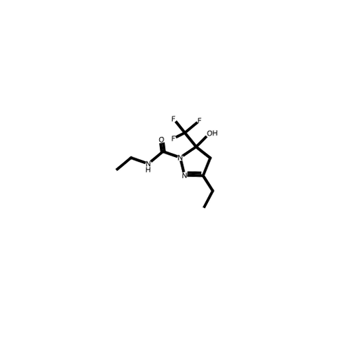 CCNC(=O)N1N=C(CC)CC1(O)C(F)(F)F